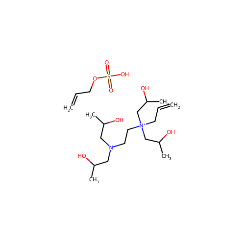 C=CCOS(=O)(=O)O.C=CC[N+](CCN(CC(C)O)CC(C)O)(CC(C)O)CC(C)O